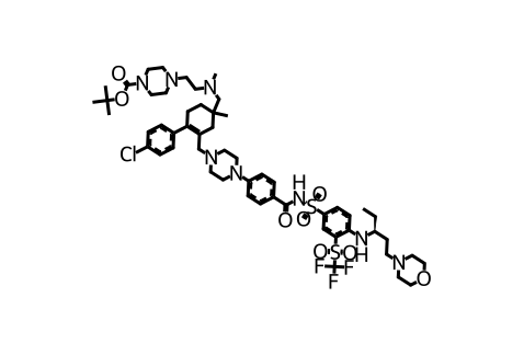 CC[C@@H](CCN1CCOCC1)Nc1ccc(S(=O)(=O)NC(=O)c2ccc(N3CCN(CC4=C(c5ccc(Cl)cc5)CCC(C)(CN(C)CCN5CCN(C(=O)OC(C)(C)C)CC5)C4)CC3)cc2)cc1S(=O)(=O)C(F)(F)F